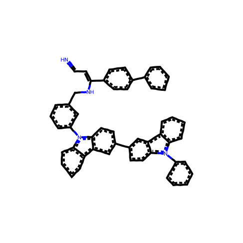 N=C/C=C(\NCc1cccc(-n2c3ccccc3c3cc(-c4ccc5c(c4)c4ccccc4n5-c4ccccc4)ccc32)c1)c1ccc(-c2ccccc2)cc1